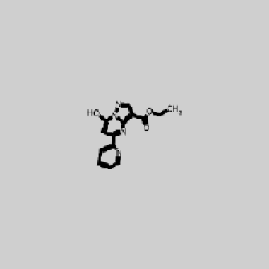 CCOC(=O)c1cnn2c(O)cc(-c3ccccn3)nc12